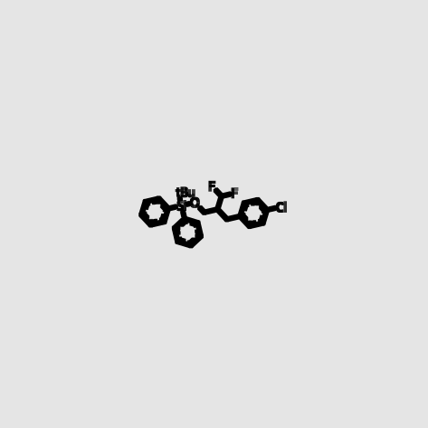 CC(C)(C)[Si](OCC(Cc1ccc(Cl)cc1)C(F)F)(c1ccccc1)c1ccccc1